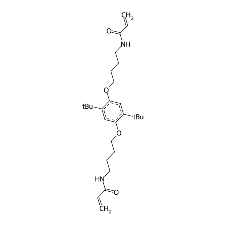 C=CC(=O)NCCCCOc1cc(C(C)(C)C)c(OCCCCNC(=O)C=C)cc1C(C)(C)C